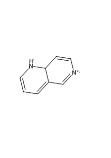 C1=CNC2C=C[N+]=CC2=C1